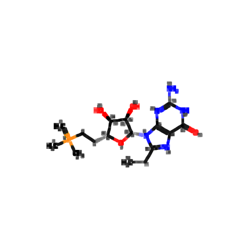 C=P(C)(C)CC[C@H]1O[C@@H](n2c(CC)nc3c(=O)[nH]c(N)nc32)[C@H](O)[C@@H]1O